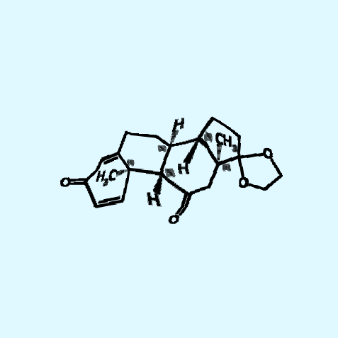 C[C@]12C=CC(=O)C=C1CC[C@@H]1[C@@H]2C(=O)C[C@@]2(C)[C@H]1CCC21OCCO1